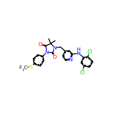 CC1(C)C(=O)N(c2ccc(SC(F)(F)F)cc2)C(=O)N1Cc1ccnc(Nc2cc(Cl)ccc2Cl)c1